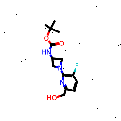 CC(C)(C)OC(=O)NC1CN(c2nc(CO)ccc2F)C1